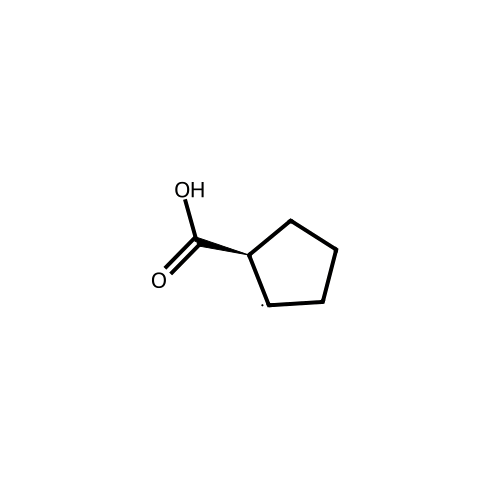 O=C(O)[C@@H]1[CH]CCC1